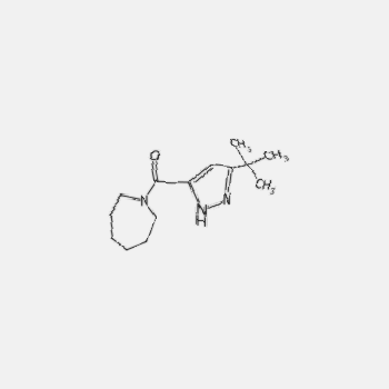 CC(C)(C)c1cc(C(=O)N2CCCCCC2)[nH]n1